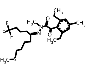 CCc1cc(C)cc(CC)c1C(=O)C(=O)N(C)/N=C(/CCCCSC)CCCC(F)(F)F